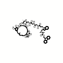 COc1cc2cc(c1Cl)N(C)C(=O)C[C@H](OC(=O)[C@H](C)N(C)C(=O)CNC(=O)CNC(=O)CNC(=O)CCn1c(CN(C)N(C)C(=O)OCC3c4ccccc4-c4ccccc43)cc3ccccc31)[C@]1(C)OC1[C@H](C)[C@@H]1C[C@@](O)(NC(=O)O1)[C@H](O)/C=C/C=C(\C)C2